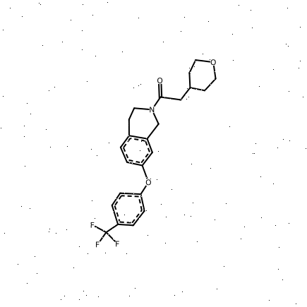 O=C(CC1CCOCC1)N1CCc2ccc(Oc3ccc(C(F)(F)F)cc3)cc2C1